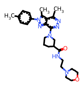 Cc1ccc(-n2nc3c(N4CCCC(C(=O)NCCN5CCOCC5)C4)nnc(C)c3c2C)cc1